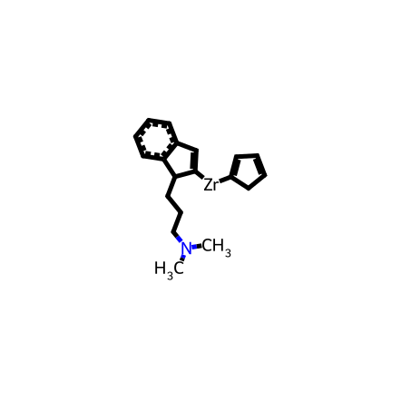 CN(C)CCCC1[C]([Zr][C]2=CC=CC2)=Cc2ccccc21